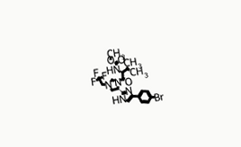 COC(=O)N[C@H](C(=O)N1CN(CC(F)(F)F)C[C@H]1c1nc(-c2ccc(Br)cc2)c[nH]1)C(C)C